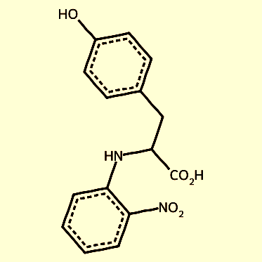 O=C(O)C(Cc1ccc(O)cc1)Nc1ccccc1[N+](=O)[O-]